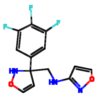 Fc1cc(C2(CNc3ccon3)C=CON2)cc(F)c1F